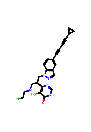 O=c1[nH]cnc(C(CNCCF)Cn2ncc3cc(C#CC#CC4CC4)ccc32)c1O